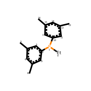 [CH2]CP(c1cc(C)cc(C)c1)c1cc(C)cc(C)c1